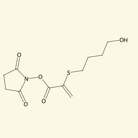 C=C(SCCCCO)C(=O)ON1C(=O)CCC1=O